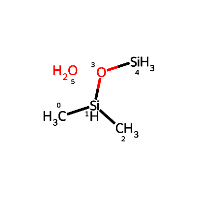 C[SiH](C)O[SiH3].O